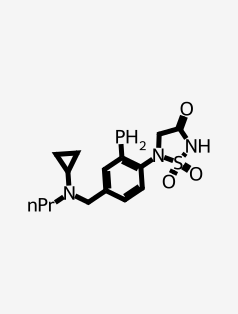 CCCN(Cc1ccc(N2CC(=O)NS2(=O)=O)c(P)c1)C1CC1